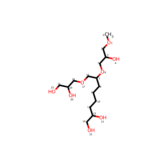 COCC(O)COC(CCCCC(O)CO)COCC(O)CO